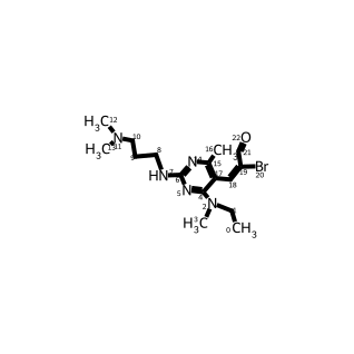 CCN(C)c1nc(NCCCN(C)C)nc(C)c1/C=C(/Br)C=O